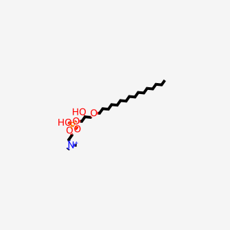 C=[N+](C)CCOP(=O)(O)OC[C@H](O)COCCCCCCCCCCCCCCCC